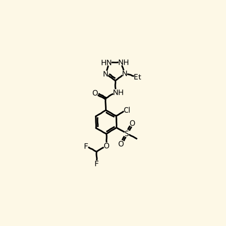 CCN1NNN=C1NC(=O)c1ccc(OC(F)F)c(S(C)(=O)=O)c1Cl